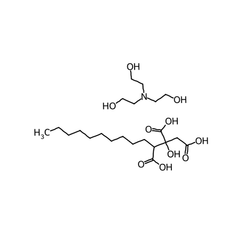 CCCCCCCCCCC(C(=O)O)C(O)(CC(=O)O)C(=O)O.OCCN(CCO)CCO